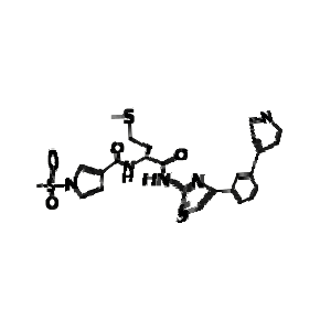 CSCC[C@H](NC(=O)c1ccn(S(C)(=O)=O)c1)C(=O)Nc1nc(-c2cccc(-c3ccncc3)c2)cs1